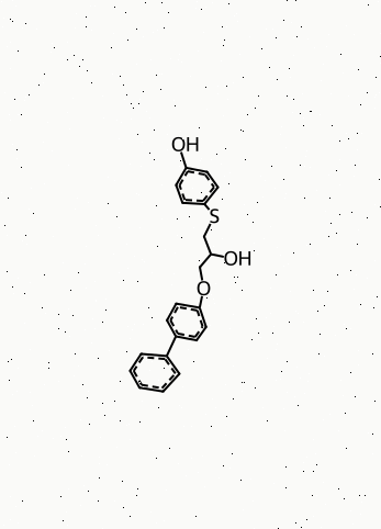 Oc1ccc(SCC(O)COc2ccc(-c3ccccc3)cc2)cc1